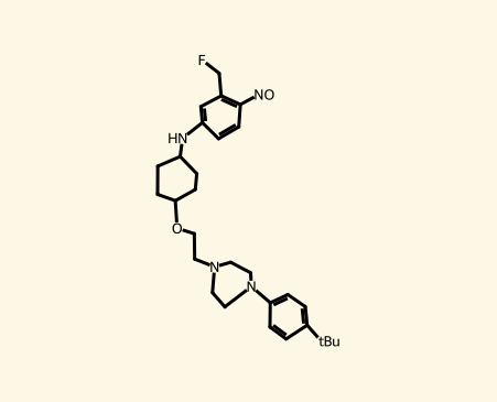 CC(C)(C)c1ccc(N2CCN(CCOC3CCC(Nc4ccc(N=O)c(CF)c4)CC3)CC2)cc1